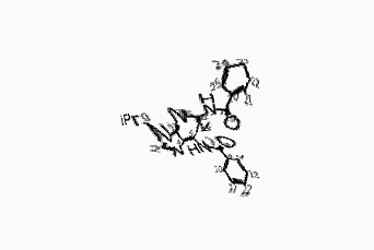 CC(C)n1cnc2c(NC(=O)c3ccccc3)nc(NC(=O)c3ccccc3)nc21